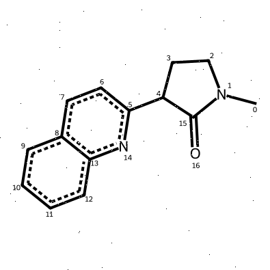 CN1CCC(c2ccc3ccccc3n2)C1=O